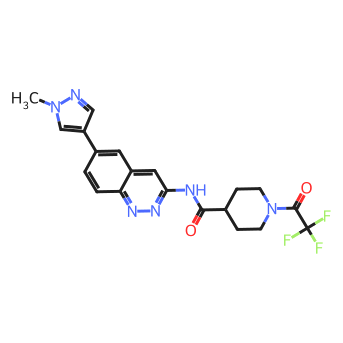 Cn1cc(-c2ccc3nnc(NC(=O)C4CCN(C(=O)C(F)(F)F)CC4)cc3c2)cn1